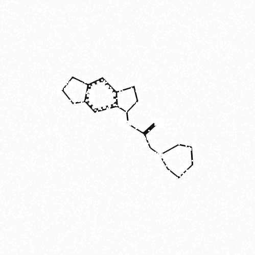 O=C(CN1CCCCC1)NC1CCc2cc3c(cc21)CCC3